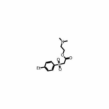 CCc1ccc(S(=O)(=O)CC(=O)OCCN(C)C)cc1